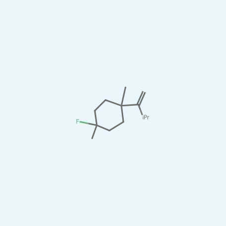 C=C(C(C)C)C1(C)CCC(C)(F)CC1